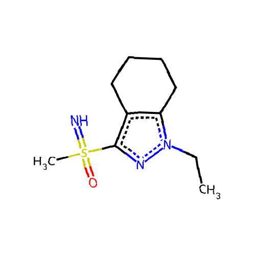 CCn1nc(S(C)(=N)=O)c2c1CCCC2